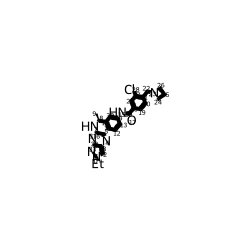 CCn1cc2ncc(N[C@@H](C)c3cccc(NC(=O)c4ccc(CN5CCC5)c(Cl)c4)c3)nc2n1